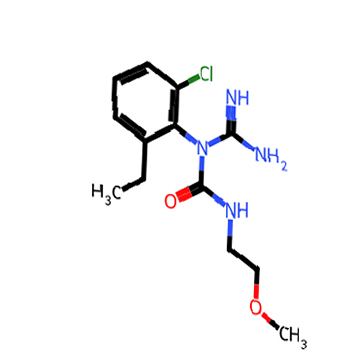 CCc1cccc(Cl)c1N(C(=N)N)C(=O)NCCOC